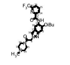 CC(C)COc1cc2nn(CC(=O)N3CCN(C)CC3)cc2cc1NC(=O)c1cccc(C(F)(F)F)n1